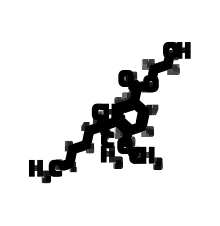 CCCCCC(C)(C)c1cc(C(=O)OCCO)ccc1OC